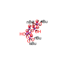 CCCCOP(=O)(OCCCC)OP(=O)(O)O[PH](=O)OP(=O)(O)OP(=O)(OCCCC)OCCCC